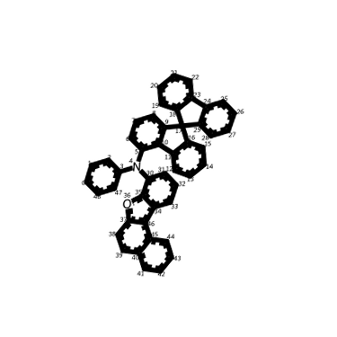 c1ccc(N(c2cccc3c2-c2ccccc2C32c3ccccc3-c3ccccc32)c2cccc3c2oc2ccc4ccccc4c23)cc1